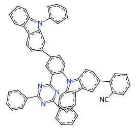 N#Cc1ccccc1-c1ccc2c(c1)c1ccccc1n2-c1ccc(-c2ccc3c4ccccc4n(-c4ccccc4)c3c2)cc1-c1nc(-c2ccccc2)nc(-c2ccccc2)n1